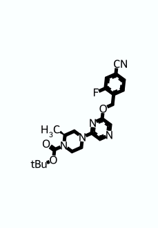 C[C@H]1CN(c2cncc(OCc3ccc(C#N)cc3F)n2)CCN1C(=O)OC(C)(C)C